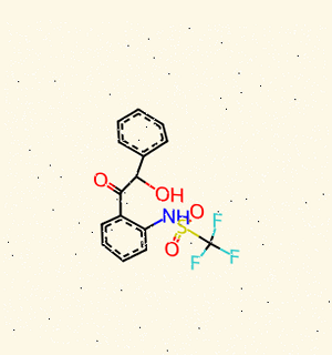 O=C(c1ccccc1NS(=O)(=O)C(F)(F)F)C(O)c1ccccc1